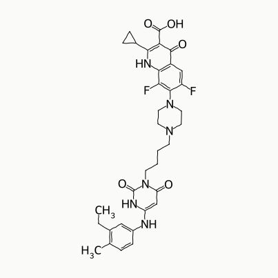 CCc1cc(Nc2cc(=O)n(CCCCN3CCN(c4c(F)cc5c(=O)c(C(=O)O)c(C6CC6)[nH]c5c4F)CC3)c(=O)[nH]2)ccc1C